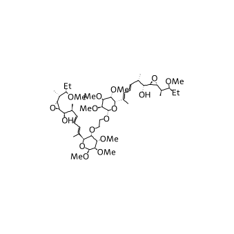 CC[C@H](OC)[C@@H](C)[C@H]1O[C@@H]1[C@H](O)[C@@H](C)/C=C/C=C(\C)[C@@H]1O[C@H](OC)[C@H](OC)[C@@H](OC)[C@H]1OCCO[C@H]1O[C@@H](/C(C)=C/C=C/[C@H](C)[C@@H](O)[C@H]2O[C@@H]2[C@H](C)[C@H](CC)OC)[C@@H](OC)[C@H](OC)[C@@H]1OC